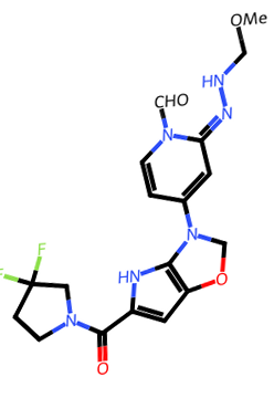 COCN/N=c1/cc(N2COc3cc(C(=O)N4CCC(F)(F)C4)[nH]c32)ccn1C=O